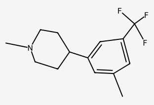 Cc1cc(C2CCN(C)CC2)cc(C(F)(F)F)c1